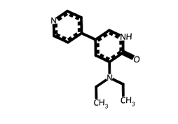 CCN(CC)c1cc(-c2ccncc2)c[nH]c1=O